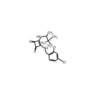 CC([AsH]c1c(NCc2ccc(Cl)cc2Cl)c(=O)c1=O)C(C)(C)C